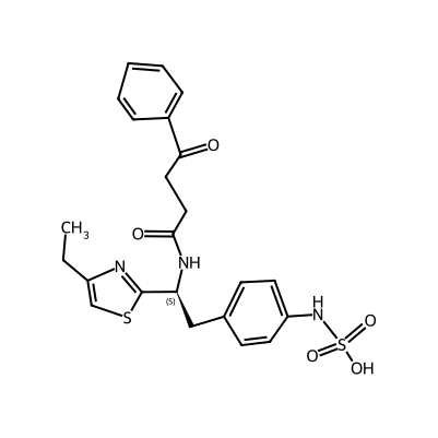 CCc1csc([C@H](Cc2ccc(NS(=O)(=O)O)cc2)NC(=O)CCC(=O)c2ccccc2)n1